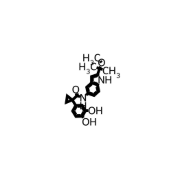 COC(C)(C)c1cc2cc(NC(=O)C3(c4ccc(O)c(O)c4)CC3)ccc2[nH]1